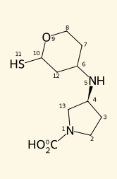 O=C(O)N1CC[C@H](NC2CCOC(S)C2)C1